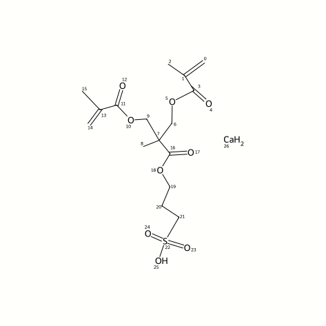 C=C(C)C(=O)OCC(C)(COC(=O)C(=C)C)C(=O)OCCCS(=O)(=O)O.[CaH2]